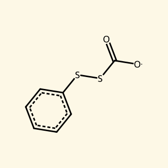 [O]C(=O)SSc1ccccc1